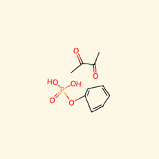 CC(=O)C(C)=O.O=P(O)(O)Oc1ccccc1